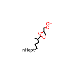 CCCCCCCCCCC(C)C1OCC(COO)O1